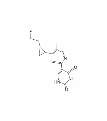 Cc1nnc(-c2c[nH]c(=O)[nH]c2=O)cc1C1CC1CCF